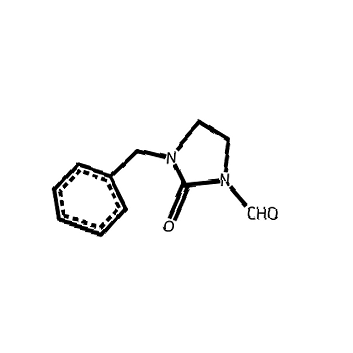 O=CN1CCN(Cc2ccccc2)C1=O